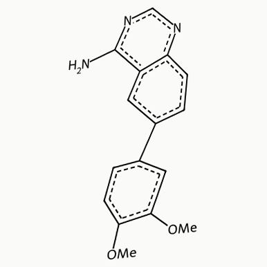 COc1ccc(-c2ccc3ncnc(N)c3c2)cc1OC